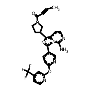 CC#CC(=O)N1CCC(c2nc(-c3ccc(Oc4cc(C(F)(F)F)ccn4)nc3)n3c(N)nccc23)C1